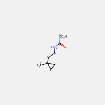 O=C(O)C(=O)NCCC1(C(F)(F)F)CC1